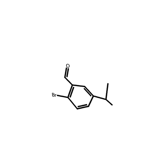 CC(C)c1ccc(Br)c(C=O)c1